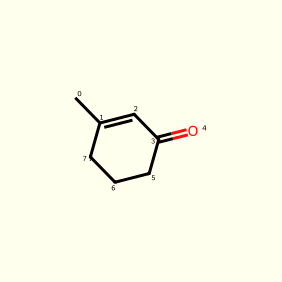 CC1=CC(=O)CC[CH]1